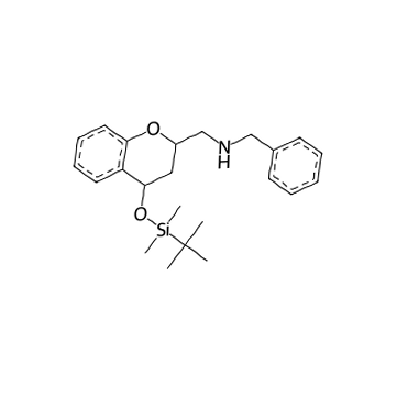 CC(C)(C)[Si](C)(C)OC1CC(CNCc2ccccc2)Oc2ccccc21